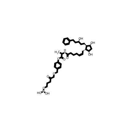 CC(NC(=O)CCC/C=C\C[C@@H]1[C@@H](CC[C@@H](O)CCc2ccccc2)[C@H](O)C[C@@H]1O)C(=O)Oc1ccc(COCC(=O)CCCON(O)O)cc1